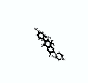 COc1cc2c(cc1N1CCNCC1)C(C)(C)c1[nH]c3cc(C#N)ccc3c1C2=O